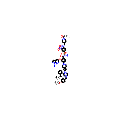 COc1ccc(CN2CCN(C3CC4(CCN(c5ccc(C(=O)NS(=O)(=O)c6ccc(NCC7CCN(C(C)=O)CC7)c([N+](=O)[O-])c6)c(Oc6cnc7[nH]ccc7c6)c5)CC4)C3)[C@H](c3ccccc3C(C)C)C2)cc1